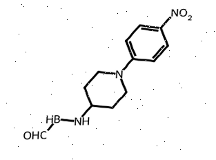 O=CBNC1CCN(c2ccc([N+](=O)[O-])cc2)CC1